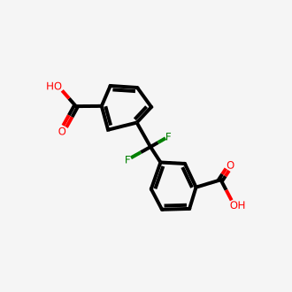 O=C(O)c1cccc(C(F)(F)c2cccc(C(=O)O)c2)c1